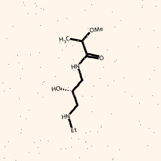 CCNC[C@H](O)CNC(=O)C(C)OC